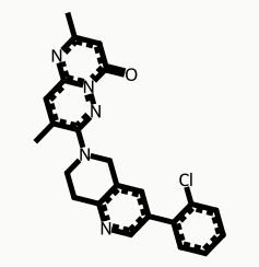 Cc1cc(=O)n2nc(N3CCc4ncc(-c5ccccc5Cl)cc4C3)c(C)cc2n1